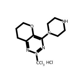 Cl.ClC(Cl)(Cl)S1=NC(N2CCNCC2)=C2OCCCC2=N1